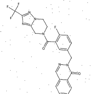 O=C(c1cc(Cn2ncc3ccccc3c2=O)ccc1F)N1CCn2nc(C(F)(F)F)nc2C1